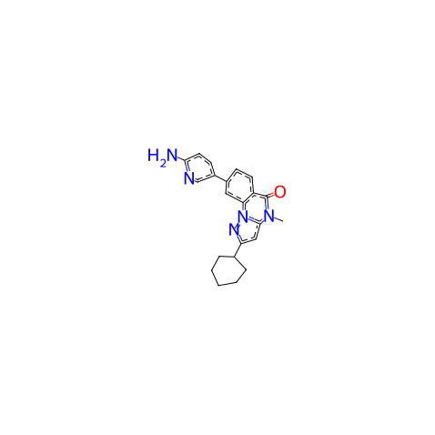 Cn1c(=O)c2ccc(-c3ccc(N)nc3)cc2n2nc(C3CCCCC3)cc12